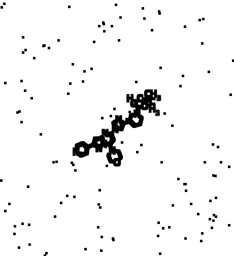 CC(C)(C)OC(=O)N1CCC=C(c2cn(-c3cc(N4CCOCC4)n4nc(-c5ccncc5)cc4n3)cn2)C1